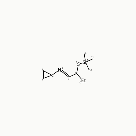 CCC(/C=N/C1CC1)S[Si](C)(C)C